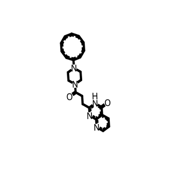 O=C(CCc1nc2ncccc2c(=O)[nH]1)N1CCN(c2ccccccccc2)CC1